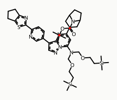 CC(C)(C)OC(=O)N1C2CCC1CC(c1cc(N(COCC[Si](C)(C)C)COCC[Si](C)(C)C)n3ncc(-c4ccc(-c5nc6c(s5)CCC6)nc4)c3n1)C2